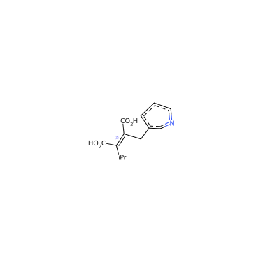 CC(C)/C(C(=O)O)=C(\Cc1cccnc1)C(=O)O